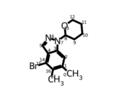 Cc1cc2c(cnn2C2CCCCO2)c(Br)c1C